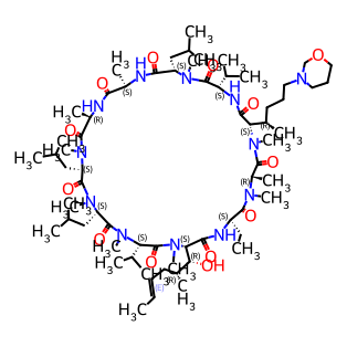 C/C=C/C[C@@H](C)[C@@H](O)[C@H]1C(=O)N[C@@H](CC)C(=O)N(C)[C@H](C)C(=O)N(C)[C@@H]([C@H](C)CCCN2CCCOC2)C(=O)N[C@@H](C(C)C)C(=O)N(C)[C@@H](CC(C)C)C(=O)N[C@@H](C)C(=O)N[C@H](C)C(=O)N(C)[C@@H](CC(C)C)C(=O)N(C)[C@@H](CC(C)C)C(=O)N(C)[C@@H](C(C)C)C(=O)N1C